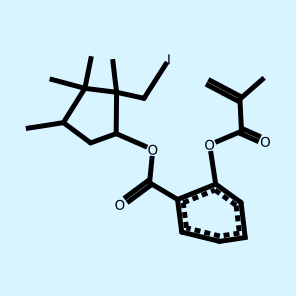 C=C(C)C(=O)Oc1ccccc1C(=O)OC1CC(C)C(C)(C)C1(C)CI